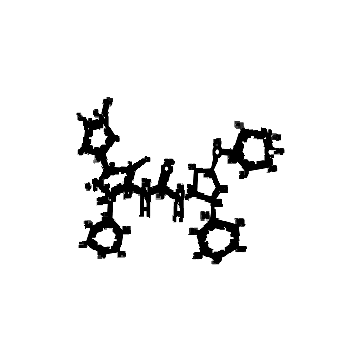 Cc1c(-c2cnn(C)c2)nn(-c2ccccc2)c1NC(=O)N[C@@H]1C[C@@H](Oc2cccnc2)C[C@H]1c1ccccc1